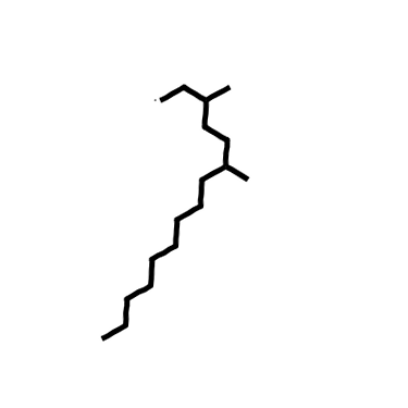 [CH2]CC(C)CCC(C)CCCCCCCCC